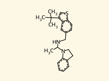 CC(NCc1ccc2scc(C(C)(C)C)c2c1)N1CCc2ccccc21